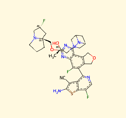 C[C@@H](O)CN1CC2CC(C1)N2c1nc(OC[C@@]23CCCN2C[C@H](F)C3)nc2c(F)c(-c3ncc(F)c4sc(N)c(C#N)c34)c3c(c12)COC3